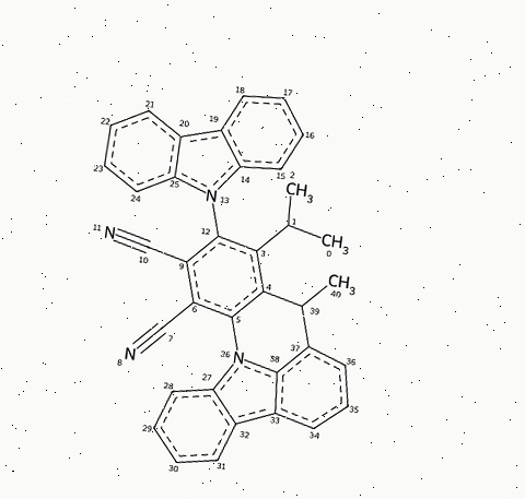 CC(C)c1c2c(c(C#N)c(C#N)c1-n1c3ccccc3c3ccccc31)-n1c3ccccc3c3cccc(c31)C2C